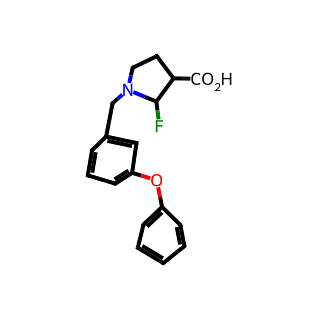 O=C(O)C1CCN(Cc2cccc(Oc3ccccc3)c2)C1F